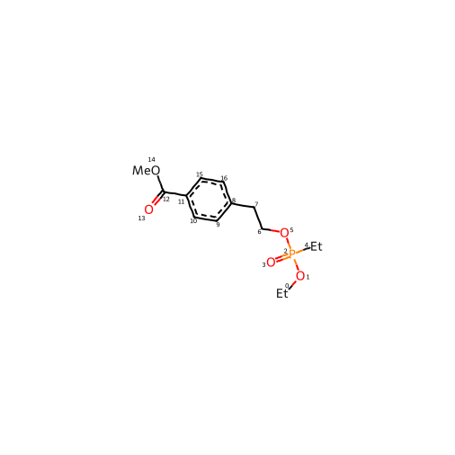 CCOP(=O)(CC)OCCc1ccc(C(=O)OC)cc1